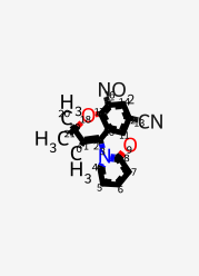 CC1=C(n2ccccc2=O)c2cc(C#N)cc([N+](=O)[O-])c2OC1(C)C